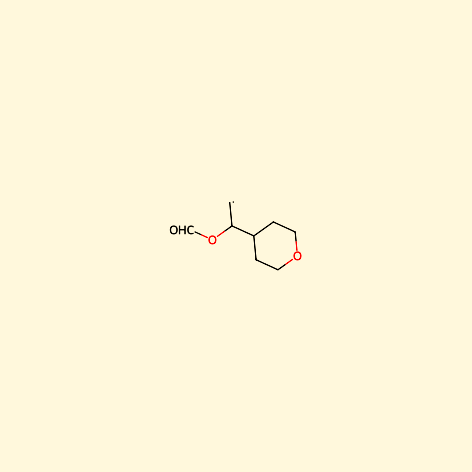 [CH2]C(OC=O)C1CCOCC1